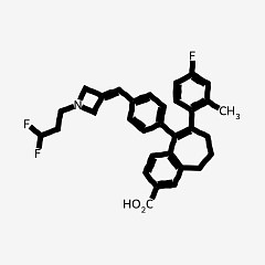 Cc1cc(F)ccc1C1=C(c2ccc(C=C3CN(CCC(F)F)C3)cc2)c2ccc(C(=O)O)cc2CCC1